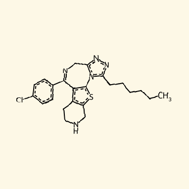 CCCCCCc1nnc2n1-c1sc3c(c1C(c1ccc(Cl)cc1)=NC2)CCNC3